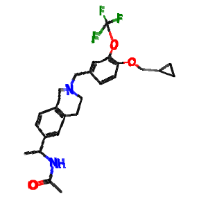 CC(=O)NC(C)c1ccc2c(c1)CCN(Cc1ccc(OCC3CC3)c(OC(F)(F)F)c1)C2